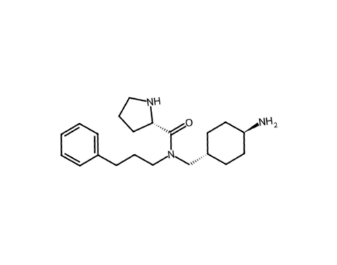 N[C@H]1CC[C@H](CN(CCCc2ccccc2)C(=O)[C@@H]2CCCN2)CC1